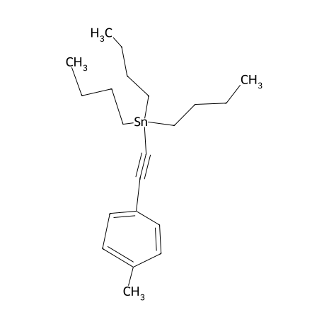 CCC[CH2][Sn]([C]#Cc1ccc(C)cc1)([CH2]CCC)[CH2]CCC